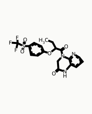 CCC(Oc1ccc(S(=O)(=O)C(F)(F)F)cc1)C(=O)N1CC(=O)Nc2cccnc21